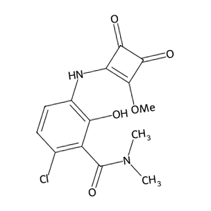 COc1c(Nc2ccc(Cl)c(C(=O)N(C)C)c2O)c(=O)c1=O